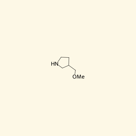 [CH2-][OH+]CC1CCNC1